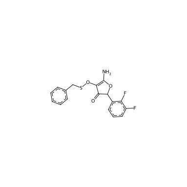 NC1=C(OSCc2ccccc2)C(=O)C(c2cccc(F)c2F)O1